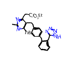 CCCCc1nc(C)nc(CC(=O)OCC)c1Cc1ccc(-c2ccccc2-c2nnn[nH]2)cc1